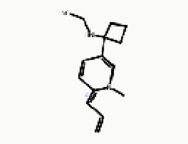 C=C/C=C1/C=CC(C2(NCC#N)CCC2)=CN1C